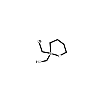 OC[Si]1(CO)CCCCO1